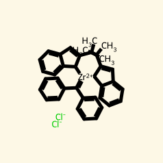 CC(C)C1=Cc2ccccc2[CH]1[Zr+2](=[C](c1ccccc1)c1ccccc1)[CH]1C(C(C)C)=Cc2ccccc21.[Cl-].[Cl-]